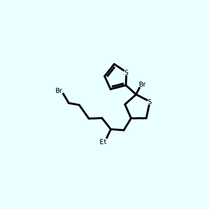 CCC(CCCCBr)CC1CSC(Br)(c2cccs2)C1